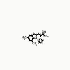 Cc1cc(C)c2c(c1)CC(CC(C(O)C(C)(C)C)n1cncn1)O2